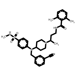 CNS(=O)(=O)c1ccc(N(Cc2cccc(C#N)c2)C2CCN(C(C)CCNC(=O)c3c(C)cccc3C)CC2)cc1